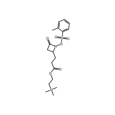 Cc1ccccc1S(=O)(=O)ON1C(=O)CC1CCC(=O)OCC[Si](C)(C)C